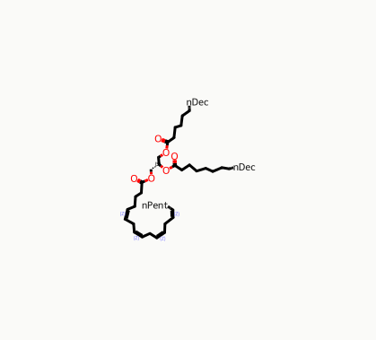 CCCCC/C=C\C/C=C\C/C=C\C/C=C\CCCC(=O)OC[C@H](COC(=O)CCCCCCCCCCCCCCC)OC(=O)CCCCCCCCCCCCCCCCC